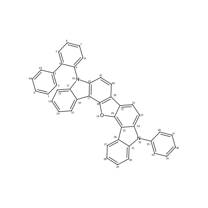 c1ccc(-c2ccccc2-n2c3ccccc3c3c4oc5c(ccc6c5c5ccccc5n6-c5ccccc5)c4ccc32)cc1